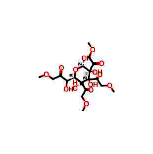 COCC(=O)C(O)[C@H]1O[C@H](O)[C@](O)(C(=O)COC)[C@](O)(C(=O)COC)[C@@]1(O)C(=O)COC